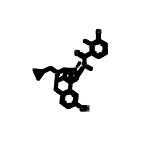 C[C@H]1CC23CCC(N(C)C(=O)c4cccc(=O)n4C)C1C21CCN(CC2CC2)C3Cc2ccc(O)cc21